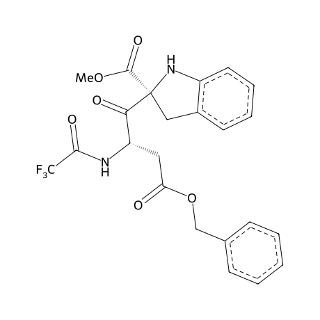 COC(=O)[C@@]1(C(=O)[C@H](CC(=O)OCc2ccccc2)NC(=O)C(F)(F)F)Cc2ccccc2N1